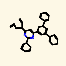 C=C/C=C(\C=C)c1cc(C2=CC(C3=CCCC=C3)=CC(c3ccccc3)C2)nc(C2C=CC=CC2)n1